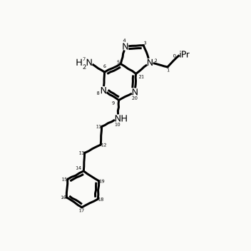 CC(C)Cn1cnc2c(N)nc(NCCCc3ccccc3)nc21